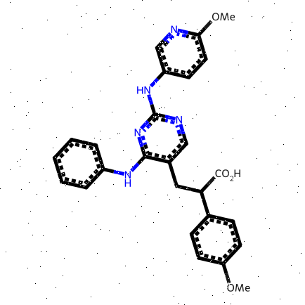 COc1ccc(C(Cc2cnc(Nc3ccc(OC)nc3)nc2Nc2ccccc2)C(=O)O)cc1